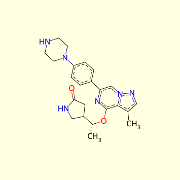 Cc1cnn2cc(-c3ccc(N4CCNCC4)cc3)nc(O[C@H](C)C3CNC(=O)C3)c12